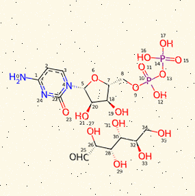 Nc1ccn([C@@H]2O[C@H](COP(=O)(O)OP(=O)(O)O)[C@@H](O)[C@H]2O)c(=O)n1.O=C[C@H](O)[C@@H](O)[C@H](O)[C@H](O)CO